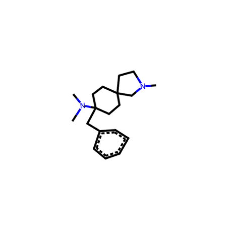 CN1CCC2(CCC(Cc3ccccc3)(N(C)C)CC2)C1